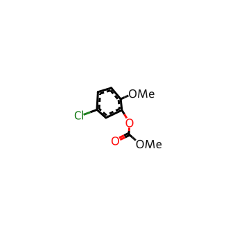 COC(=O)Oc1cc(Cl)ccc1OC